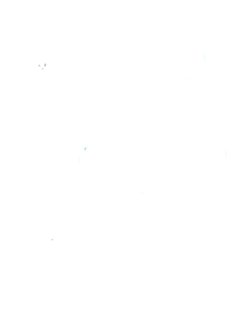 Fc1ccc([B-](c2c(F)c(F)c(F)c(F)c2F)(c2c(F)c(F)c(F)c(F)c2F)c2c(F)c(F)c(F)c(F)c2F)cc1.[Br-].[Mg+2]